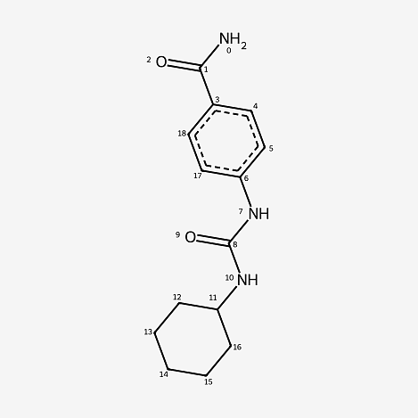 NC(=O)c1ccc(NC(=O)NC2CCCCC2)cc1